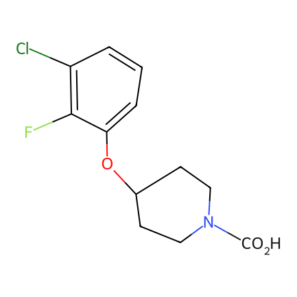 O=C(O)N1CCC(Oc2cccc(Cl)c2F)CC1